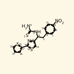 NC(=S)NC(Cc1ccc([N+](=O)[O-])cc1)c1csc(-c2cccs2)n1